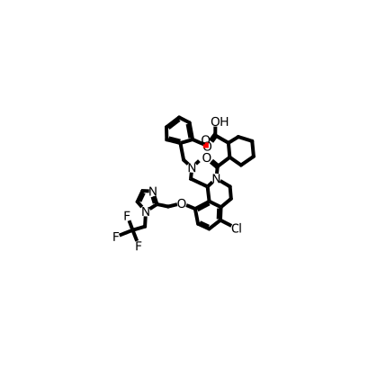 CN(Cc1ccccc1C=O)CC1c2c(OCc3nccn3CC(F)(F)F)ccc(Cl)c2CCN1C(=O)C1CCCCC1C(=O)O